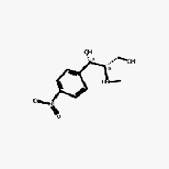 CN[C@@H](CO)[C@@H](O)c1ccc([N+](=O)[O-])cc1